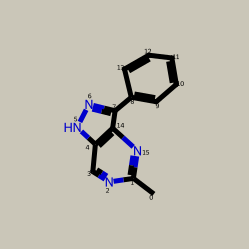 Cc1ncc2[nH]nc(-c3ccccc3)c2n1